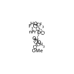 CCCc1cc(C(O)(C(F)(F)F)C(F)(F)F)cc(Cc2ccccc2)c1OCCCCN1C(=O)C=CC(C)(c2ccc(OC)cc2)C1=O